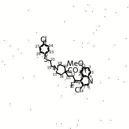 COc1ccc2ncc(Cl)c([C@@H](F)CCC3(C(=O)O)CCN(CCSc4ccc(Cl)cc4)CC3)c2c1